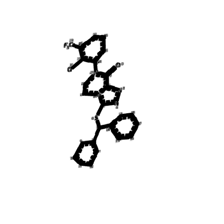 O=c1c2nnc(SC(c3ccccc3)c3ccccc3)n2ccn1-c1cccc(C(F)(F)F)c1Cl